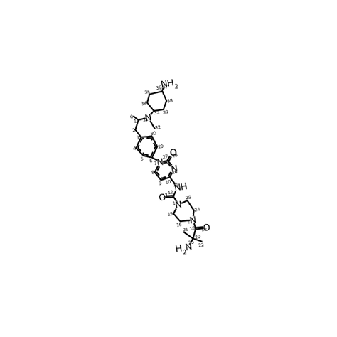 CC(Cc1ccc(-n2ccc(NC(=O)N3CCN(C(=O)C(C)(C)N)CC3)nc2=O)cc1)N(C)[C@H]1CC[C@@H](N)CC1